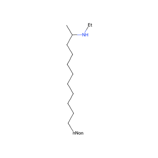 CCCCCCCCCCCCCCCCCCC(C)NCC